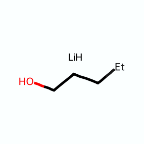 CCCCCO.[LiH]